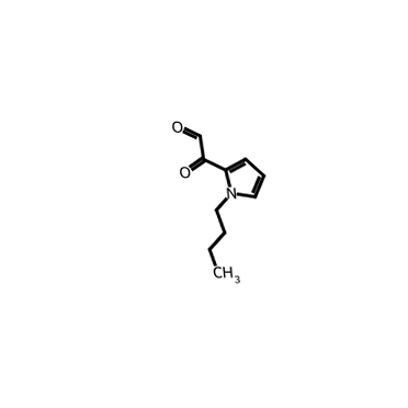 CCCCn1cccc1C(=O)C=O